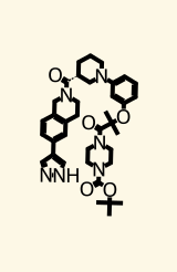 CC(C)(C)OC(=O)N1CCN(C(=O)C(C)(C)Oc2cccc(N3CCC[C@@H](C(=O)N4CCc5cc(-c6cn[nH]c6)ccc5C4)C3)c2)CC1